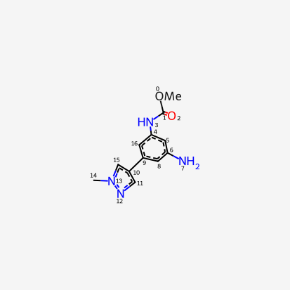 COC(=O)Nc1cc(N)cc(-c2cnn(C)c2)c1